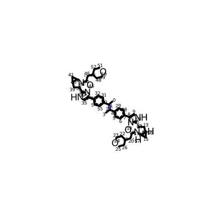 C/C(=C(/C)c1ccc(-c2c[nH]c([C@@H]3C[C@H]4C[C@H]4N3C(=O)[CH]C3CCOCC3)n2)cc1)c1ccc(-c2c[nH]c(C3CC4CC4N3C(=O)[CH]C3CCOCC3)n2)cc1